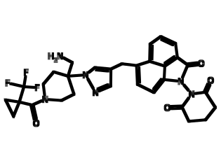 NCC1(n2cc(Cc3ccc4c5c(cccc35)C(=O)N4N3C(=O)CCCC3=O)cn2)CCN(C(=O)C2(C(F)(F)F)CC2)CC1